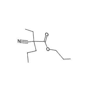 CCCOC(=O)C(C#N)(CC)CCC